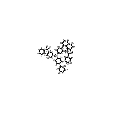 CC1(C)c2ccccc2-c2ccc(N(c3ccc(-c4ccccc4)cc3)c3ccc(-c4cccc5ccc6oc(-c7ccccc7)nc6c45)cc3)cc21